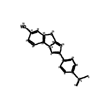 CN(C)c1ccc(-c2cn3c(n2)sc2cc(O)ccc23)cc1